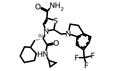 NC(=O)C1=CN([C@@H](CC2CCCCC2)C(=O)NC2CC2)C(CN2CCc3ccc(C(F)(F)F)cc32)S1